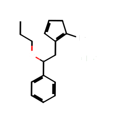 CCCOC(CC1=[C]([Ti+2])CC=C1)c1ccccc1.[Cl-].[Cl-]